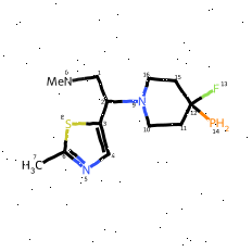 CNCC(c1cnc(C)s1)N1CCC(F)(P)CC1